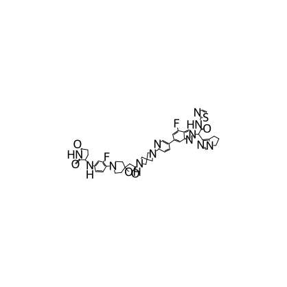 O=C1CCC(Nc2ccc(N3CCC(O)(CC(=O)N4CC5(C4)CN(c4ccc(-c6cc(F)c7cn(C(C(=O)Nc8nccs8)c8ncn9c8CCC9)nc7c6)cn4)C5)CC3)c(F)c2)C(=O)N1